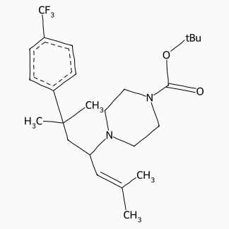 CC(C)=CC(CC(C)(C)c1ccc(C(F)(F)F)cc1)N1CCN(C(=O)OC(C)(C)C)CC1